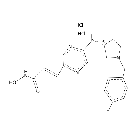 Cl.Cl.O=C(C=Cc1cnc(N[C@@H]2CCN(Cc3ccc(F)cc3)C2)cn1)NO